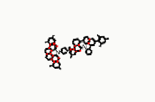 Cc1cc(C)c(-c2cccc(-c3ccccc3N(c3ccc(C(C)(C)c4ccc(N(c5ccccc5-c5cccc(-c6c(C)cc(C)cc6C)c5)c5ccccc5-c5cccc(-c6c(C)cc(C)cc6C)c5)cc4)cc3)c3ccccc3-c3cccc(-c4c(C)cc(C)cc4C)c3)c2)c(C)c1